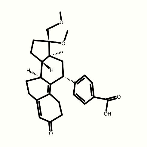 COC[C@]1(OC)CC[C@H]2[C@@H]3CCC4=CC(=O)CCC4=C3[C@@H](c3ccc(C(=O)O)cc3)C[C@@]21C